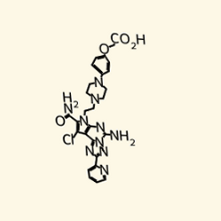 NC(=O)c1c(Cl)c2c(nc(N)n3nc(-c4ccccn4)nc23)n1CCN1CCN(c2ccc(OCC(=O)O)cc2)CC1